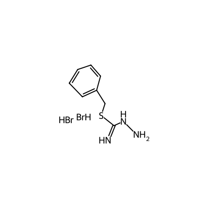 Br.Br.N=C(NN)SCc1ccccc1